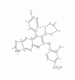 O=C(O)c1ccc(Oc2nc3cc4[nH]ncc4cc3c(-c3ccc(F)cc3)c2C2CCOCC2)c(F)c1